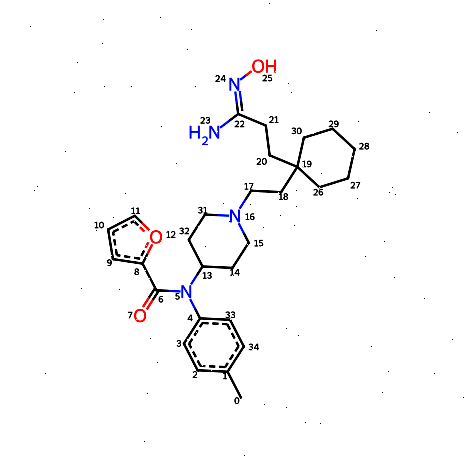 Cc1ccc(N(C(=O)c2ccco2)C2CCN(CCC3(CC/C(N)=N\O)CCCCC3)CC2)cc1